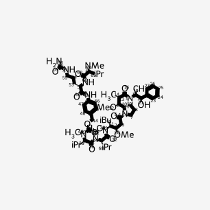 CC[C@H](C)[C@@H]([C@@H](CC(=O)N1CCC[C@H]1[C@H](OC)[C@H](C)C(=O)N[C@@H](C)[C@H](O)c1ccccc1)OC)N(C)C(=O)[C@@H](NC(=O)[C@H](C(C)C)N(C)C(=O)OCc1ccc(NC(=O)[C@H](CCCNC(N)=O)NC(=O)[C@@H](NC)C(C)C)cc1)C(C)C